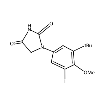 COc1c(I)cc(N2CC(=O)NC2=O)cc1C(C)(C)C